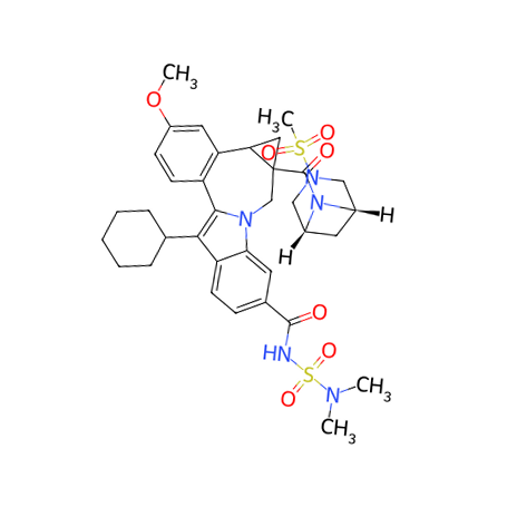 COc1ccc2c(c1)C1CC1(C(=O)N1[C@@H]3C[C@H]1CN(S(C)(=O)=O)C3)Cn1c-2c(C2CCCCC2)c2ccc(C(=O)NS(=O)(=O)N(C)C)cc21